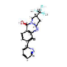 O=c1c2ccc(-c3ccccn3)cc2nc2n1CC(C(F)(F)F)C2